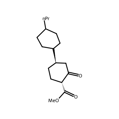 CCCC1CCC([C@@H]2CC[C@@H](C(=O)OC)C(=O)C2)CC1